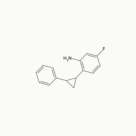 Nc1cc(F)ccc1C1CC1c1ccccc1